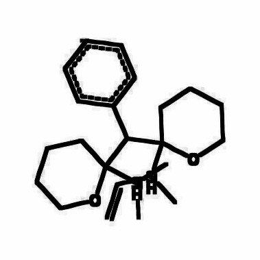 C=C[SiH](C)C1(C(c2cc[c]cc2)C2([SiH](C)C)CCCCO2)CCCCO1